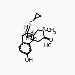 C[C@H]1C[C@H]2[C@H]3Cc4ccc(O)cc4[C@@]2(CCN3CC2CC2)CC1=O.Cl